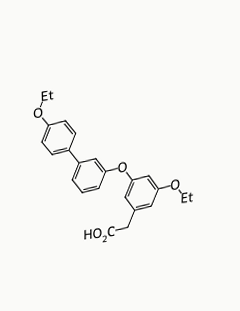 CCOc1ccc(-c2cccc(Oc3cc(CC(=O)O)cc(OCC)c3)c2)cc1